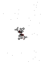 CC(C)(C)c1cc(-c2ccc3c4c5c6cccc(-c7c(-c8ccccc8)cccc7-c7ccccc7)c6n6c7cc(-c8cc(C(C)(C)C)cc(C(C)(C)C)c8)ccc7c(c7c8cccc(-c9c(-c%10ccccc%10)cccc9-c9ccccc9)c8n(c3c2)c47)c56)cc(C(C)(C)C)c1